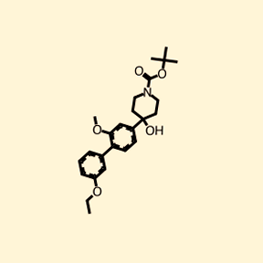 CCOc1cccc(-c2ccc(C3(O)CCN(C(=O)OC(C)(C)C)CC3)cc2OC)c1